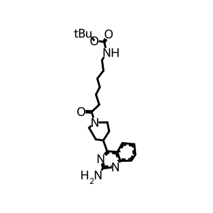 CC(C)(C)OC(=O)NCCCCCCC(=O)N1CCC(c2nc(N)nc3ccccc23)CC1